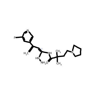 C=C(/C=C(\NN)NC(=O)C(C)(C)CCN1CCCC1)c1cncc(F)c1